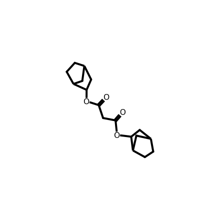 O=C(CC(=O)OC1CC2CCC1C2)OC1CC2CCC1C2